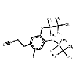 [C-]#[N+]CCc1cc(O[Si](C)(C)C(C)(C)C)c(O[Si](C)(C)C(C)(C)C)cc1I